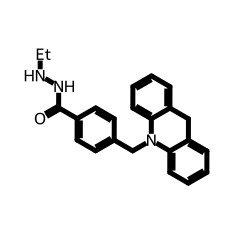 CCNNC(=O)c1ccc(CN2c3ccccc3Cc3ccccc32)cc1